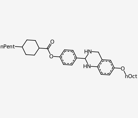 CCCCCCCCOc1ccc2c(c1)CNC(c1ccc(OC(=O)C3CCC(CCCCC)CC3)cc1)N2